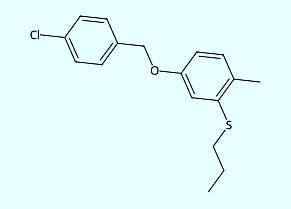 CCCSc1cc(OCc2ccc(Cl)cc2)ccc1C